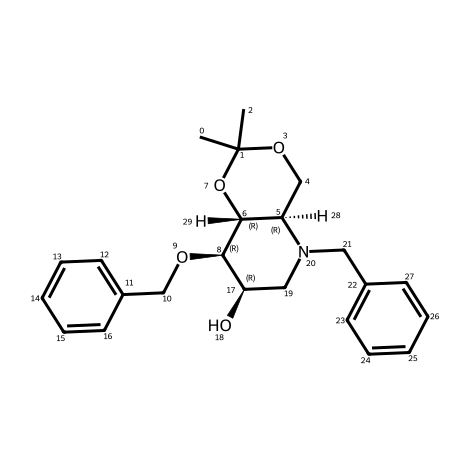 CC1(C)OC[C@@H]2[C@@H](O1)[C@H](OCc1ccccc1)[C@H](O)CN2Cc1ccccc1